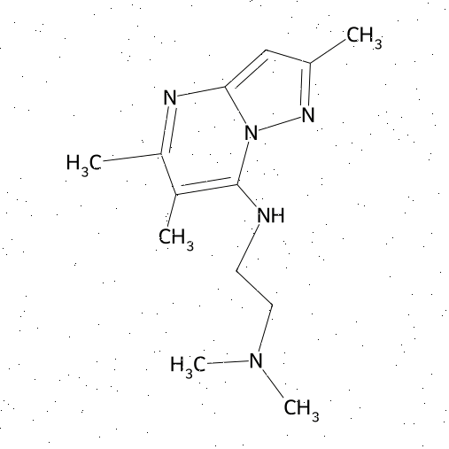 Cc1cc2nc(C)c(C)c(NCCN(C)C)n2n1